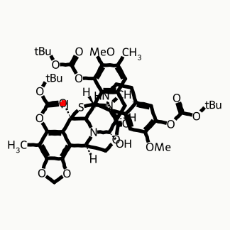 COc1cc2c(cc1OC(=O)OC(C)(C)C)CCN[C@]21CS[C@@H]2c3c(OC(=O)OC(C)(C)C)c(C)c4c(c3[C@H](COC1=O)N1C2[C@@H]2c3c(cc(C)c(OC)c3OC(=O)OC(C)(C)C)C[C@@H]([C@@H]1O)N2C)OCO4